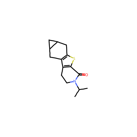 CC(C)N1CCc2c(sc3c2CC2CC2C3)C1=O